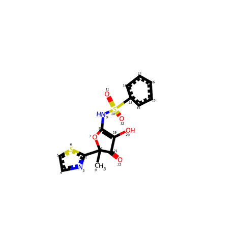 CC1(c2nccs2)OC(NS(=O)(=O)c2ccccc2)=C(O)C1=O